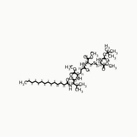 CCCCCCCCCCCCCC(=O)N[C@H](C(=O)N[C@H](CCC(=O)N[C@H](CSC[C@H](NC(=O)OC(C)(C)C)C(=O)OC)C(=O)OC)C(=O)OC)C(C)C